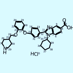 Cl.O=C(O)c1ccc2c(c1)nc(-c1ccc(Oc3ccccc3OCC3CCNCC3)cc1)n2C1CCCCC1